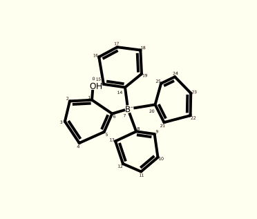 Oc1ccccc1[B-](c1ccccc1)(c1ccccc1)c1ccccc1